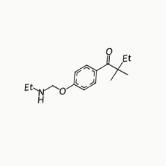 CCNCOc1ccc(C(=O)C(C)(C)CC)cc1